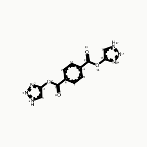 O=C(Oc1c[nH]nn1)c1ccc(C(=O)Oc2c[nH]nn2)cc1